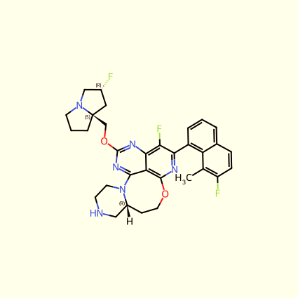 Cc1c(F)ccc2cccc(-c3nc4c5c(nc(OC[C@@]67CCCN6C[C@H](F)C7)nc5c3F)N3CCNC[C@H]3CCO4)c12